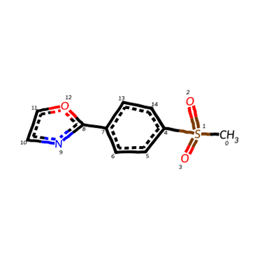 CS(=O)(=O)c1ccc(-c2ncco2)cc1